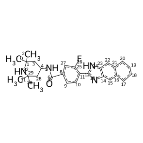 CC1(C)CC(NC(=O)c2ccc(-c3nc4cc5ccccc5cc4[nH]3)c(F)c2)CC(C)(C)N1